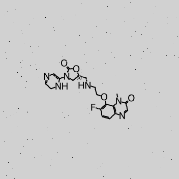 Cn1c(=O)cnc2ccc(F)c(OCCNC[C@H]3CN(C4=CN=CCN4)C(=O)O3)c21